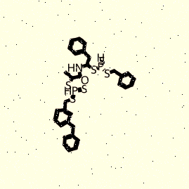 CC(S[PH](=S)SCc1cccc(Cc2ccccc2)c1)C(=O)NC(Cc1ccccc1)S[PH](=S)SCc1ccccc1